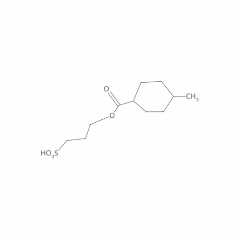 CC1CCC(C(=O)OCCCS(=O)(=O)O)CC1